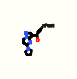 CCCCCC#CC(=O)c1cnn2ccc(N3CCCC3)nc12